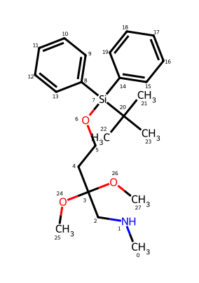 CNCC(CCO[Si](c1ccccc1)(c1ccccc1)C(C)(C)C)(OC)OC